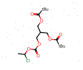 CC(Cl)OC(=O)OCC(COC(=O)C(C)(C)C)COC(=O)C(C)(C)C